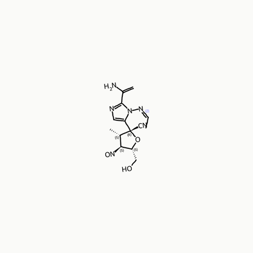 C=C(N)c1ncc([C@]2(C#N)O[C@H](CO)[C@@H](N=O)[C@@H]2C)n1/N=C\C